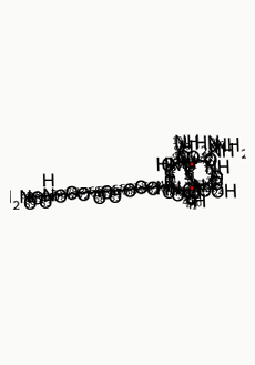 N=C(N)NCCC[C@@H]1CC(=O)[C@@H]2CSSC[C@H](NC(=O)[C@H](CC(=O)O)CC(=O)CNC1=O)C(=O)C[C@@H](Cc1ccccc1)C(=O)N[C@H](C(=O)CCCOCCOCCOCCCC(=O)COCC(=O)CCCOCCOCCOCCNC(=O)COCC(N)=O)CSCC(=O)N[C@@H](CCCCN)C(=O)N2